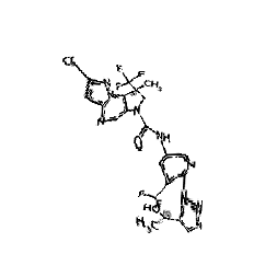 C[C@H](O)c1cnnn1-c1ncc(NC(=O)N2C[C@@](C)(C(F)(F)F)c3c2cnc2cc(Cl)nn32)cc1C(F)F